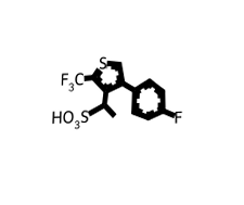 CC(c1c(-c2ccc(F)cc2)csc1C(F)(F)F)S(=O)(=O)O